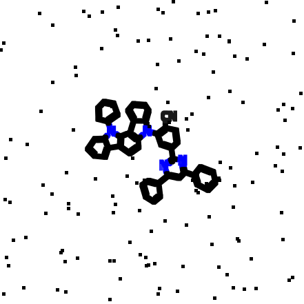 N#Cc1ccc(-c2nc(-c3ccccc3)cc(-c3ccccc3)n2)cc1-n1c2ccccc2c2c1ccc1c3ccccc3n(-c3ccccc3)c12